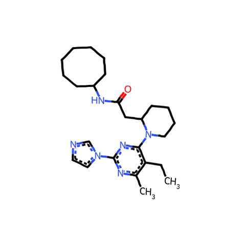 CCc1c(C)nc(-n2ccnc2)nc1N1CCCCC1CC(=O)NC1CCCCCCC1